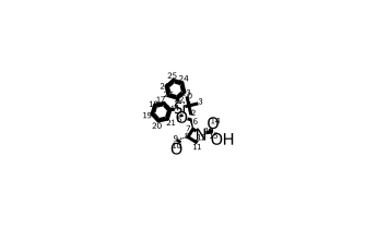 CC(C)(C)[Si](OC[C@@H]1[C@@H](C=O)CN1C(=O)O)(c1ccccc1)c1ccccc1